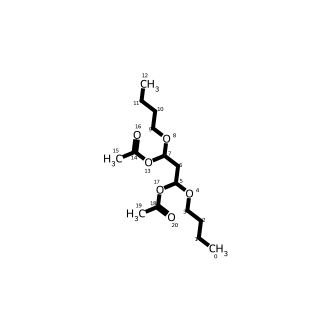 CCCCOC(CC(OCCCC)OC(C)=O)OC(C)=O